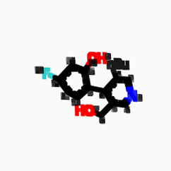 CCCCc1cncc(CO)c1-c1ccc(F)cc1O